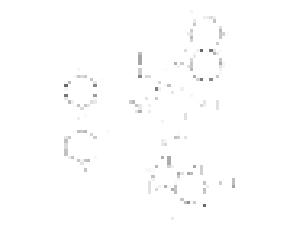 Nc1nc(Cl)nc2c1ncn2[C@H]1C[C@@H](OP(=O)(N[C@@H](Cc2ccccc2)C(=O)OCc2ccccc2)Oc2cccc3ccccc23)[C@@H](CO)O1